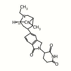 CCN1CC2CC(c3ccc4c(c3)CN(C3CCC(=O)NC3=O)C4=O)C[C@H]1CN2C